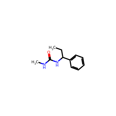 CCC(NC(=O)NC)c1ccccc1